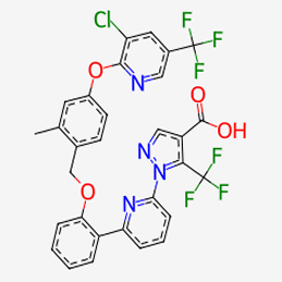 Cc1cc(Oc2ncc(C(F)(F)F)cc2Cl)ccc1COc1ccccc1-c1cccc(-n2ncc(C(=O)O)c2C(F)(F)F)n1